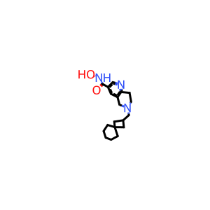 O=C(NO)c1cnc2c(c1)CN(CC1CC3(CCCCC3)C1)CC2